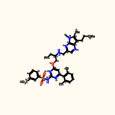 CCc1cccc(CC)c1-c1cc(OC[C@@H](CC(C)C)NCc2cnc3c(CCOC)c(C(C)(C)C)n(C)c3n2)nc(NS(=O)(=O)c2cccc(C(=O)O)c2)n1